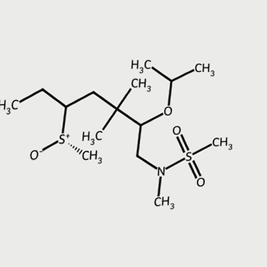 CCC(CC(C)(C)C(CN(C)S(C)(=O)=O)OC(C)C)[S@+](C)[O-]